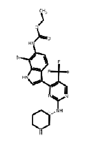 CCOC(=O)Nc1ccc2c(-c3nc(N[C@H]4CCCNC4)ncc3C(F)(F)F)c[nH]c2c1Br